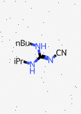 CCCCN/C(=N\C#N)NC(C)C